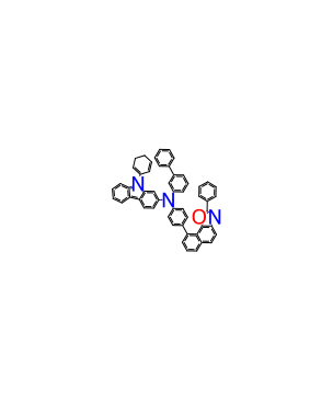 C1=CC(n2c3ccccc3c3ccc(N(c4ccc(-c5cccc6ccc7nc(-c8ccccc8)oc7c56)cc4)c4cccc(-c5ccccc5)c4)cc32)=CCC1